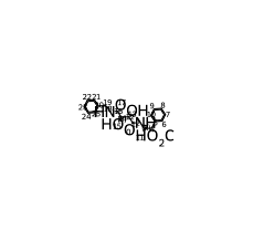 O=C(N[C@H](Cc1ccccc1)C(=O)O)C(O)[C@@H](O)C(=O)NCc1ccccc1